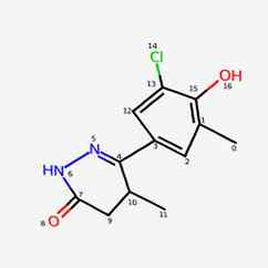 Cc1cc(C2=NNC(=O)CC2C)cc(Cl)c1O